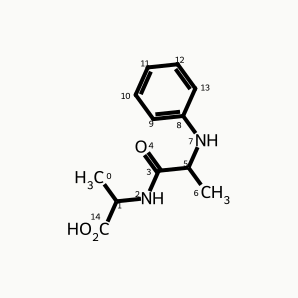 CC(NC(=O)C(C)Nc1ccccc1)C(=O)O